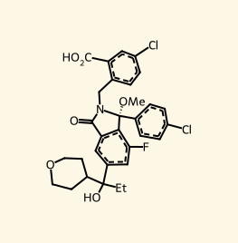 CCC(O)(c1cc(F)c2c(c1)C(=O)N(Cc1ccc(Cl)cc1C(=O)O)[C@@]2(OC)c1ccc(Cl)cc1)C1CCOCC1